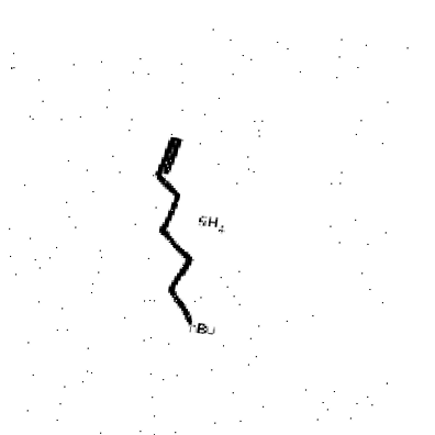 C=CCCCCCCCC.[SiH4]